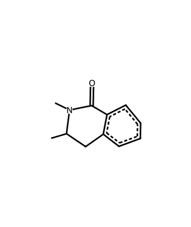 CC1Cc2ccccc2C(=O)N1C